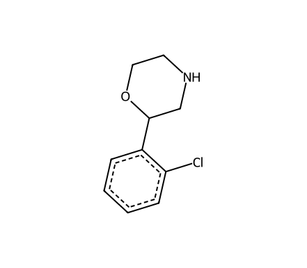 Clc1ccccc1C1CNCCO1